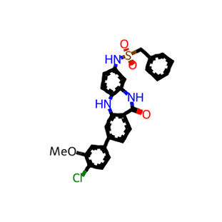 COc1cc(-c2ccc3c(c2)Nc2ccc(NS(=O)(=O)Cc4ccccc4)cc2NC3=O)ccc1Cl